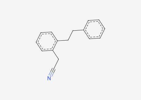 N#CCc1ccccc1CCc1ccccc1